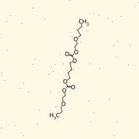 CCCCOCCOC(=O)OC[CH]CCOC(=O)OCCOCCC